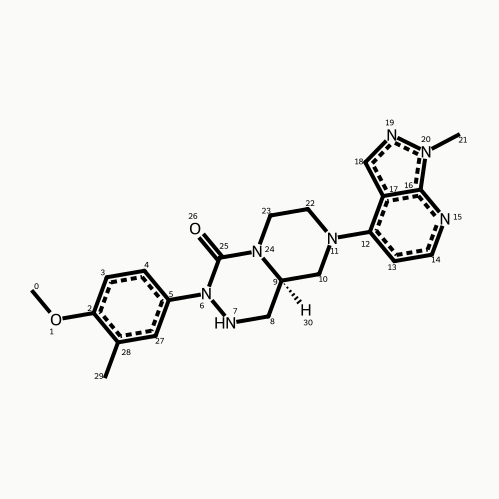 COc1ccc(N2NC[C@@H]3CN(c4ccnc5c4cnn5C)CCN3C2=O)cc1C